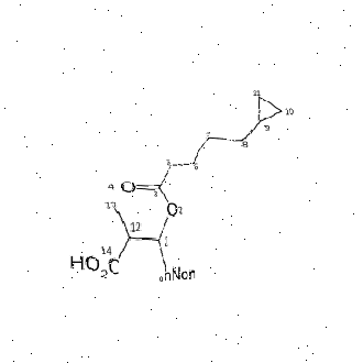 CCCCCCCCCC(OC(=O)CCCCC1CC1)C(C)C(=O)O